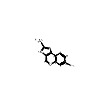 Nc1nc2c(s1)COc1cc(F)ccc1-2